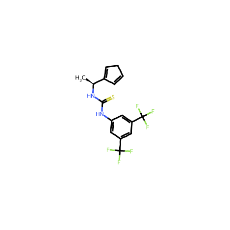 C[C@H](NC(=S)Nc1cc(C(F)(F)F)cc(C(F)(F)F)c1)C1=CCC=C1